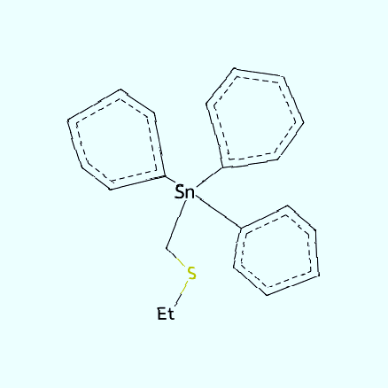 CCS[CH2][Sn]([c]1ccccc1)([c]1ccccc1)[c]1ccccc1